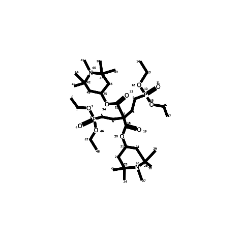 CCOP(=O)(CCC(CCP(=O)(OCC)OCC)(C(=O)OC1CC(C)(C)N(C)C(C)(C)C1)C(=O)OC1CC(C)(C)N(C)C(C)(C)C1)OCC